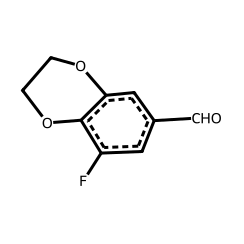 O=Cc1cc(F)c2c(c1)OCCO2